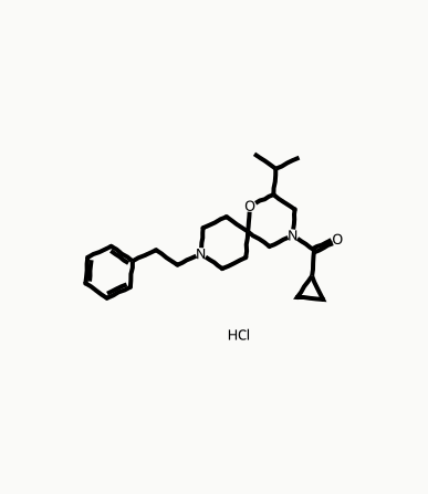 CC(C)C1CN(C(=O)C2CC2)CC2(CCN(CCc3ccccc3)CC2)O1.Cl